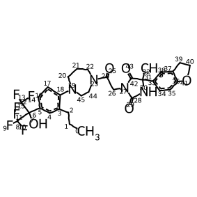 CCCc1cc(C(O)(C(F)(F)F)C(F)(F)F)ccc1N1CCCN(C(=O)CN2C(=O)NC(C)(c3ccc4c(c3)CCO4)C2=O)CC1